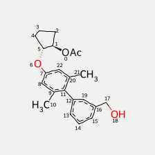 CC(=O)O[C@@H]1CCC[C@H]1Oc1cc(C)c(-c2cccc(CO)c2)c(C)c1